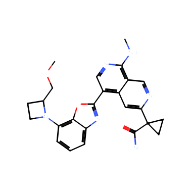 CNc1ncc(-c2nc3cccc(N4CCC4COC)c3o2)c2cc(C3(C(N)=O)CC3)ncc12